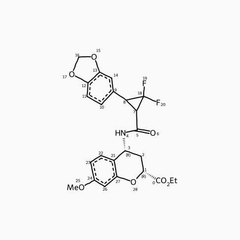 CCOC(=O)[C@H]1C[C@@H](NC(=O)C2C(c3ccc4c(c3)OCO4)C2(F)F)c2ccc(OC)cc2O1